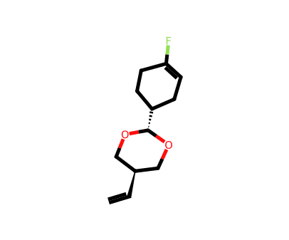 C=C[C@H]1CO[C@H](C2CC=C(F)CC2)OC1